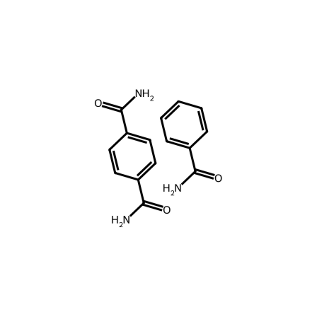 NC(=O)c1ccc(C(N)=O)cc1.NC(=O)c1ccccc1